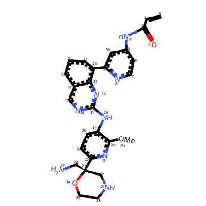 C=CC(=O)Nc1ccnc(-c2cccc3cnc(Nc4ccc([C@]5(CN)CNCCO5)nc4OC)nc23)c1